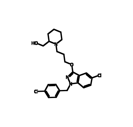 OCC1CCCCN1CCCOc1nn(Cc2ccc(Cl)cc2)c2ccc(Cl)cc12